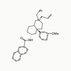 C=CC[N@@+]1(CC(C)C)CC[C@]2(c3cccc(OC)c3)C[C@H](NC(=O)c3ccc4ccccc4c3)CCC2C1